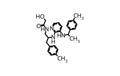 Cc1ccc(CC(CNC(=O)CO)Nc2ncccc2NC(C)c2ccc(C)cc2)cc1